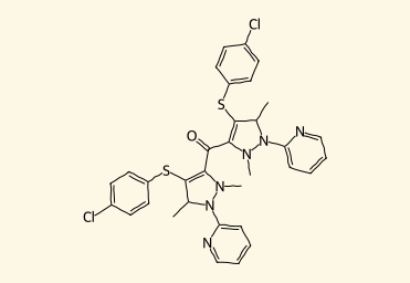 CC1C(Sc2ccc(Cl)cc2)=C(C(=O)C2=C(Sc3ccc(Cl)cc3)C(C)N(c3ccccn3)N2C)N(C)N1c1ccccn1